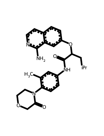 Cc1cc(NC(=O)C(CC(C)C)Oc2ccc3ccnc(N)c3c2)ccc1N1CCOCC1=O